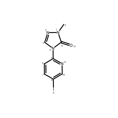 Cn1ncn(-c2ccc(I)cn2)c1=O